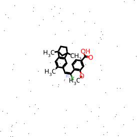 COc1cc(C(=O)O)ccc1/C(F)=C\c1cc2c(cc1C)C1(C)CCC2(C)C1